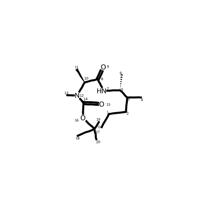 CCCC(C)[C@@H](C)NC(=O)[C@H](C)N(C)C(=O)OC(C)(C)C